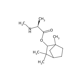 CN[C@@H](C)C(=O)OC1C2(C)CCC(C2)C1(C)C